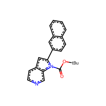 CC(C)(C)OC(=O)n1c(-c2ccc3ccccc3c2)cc2ccncc21